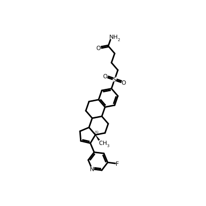 C[C@]12CCC3c4ccc(S(=O)(=O)CCCC(N)=O)cc4CCC3C1CC=C2c1cncc(F)c1